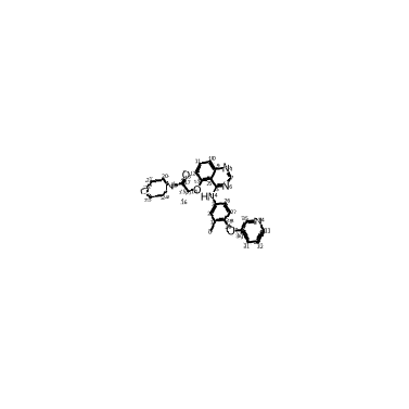 Cc1cc(Nc2ncnc3cccc(O[C@H](C)C(=O)N4CCOCC4)c23)ccc1Oc1cccnc1